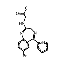 CC(=O)CNC1=Nc2ccc(Br)cc2C(c2ccccn2)=NC1